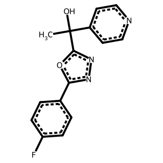 CC(O)(c1ccncc1)c1nnc(-c2ccc(F)cc2)o1